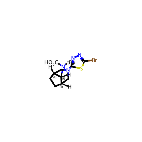 CC(C)(C)N(C(=O)O)[C@H]1[C@@H]2CC[C@H]1CN(c1nnc(Br)s1)C2